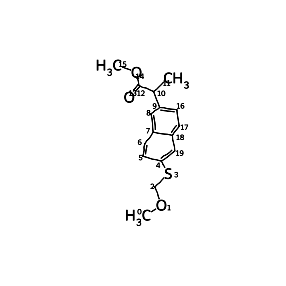 COCSc1ccc2cc(C(C)C(=O)OC)ccc2c1